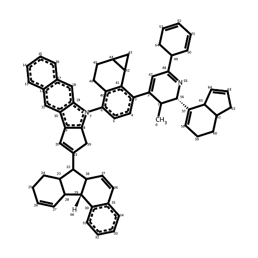 CC1C(c2ccc(-n3c4c(c5cc6ccccc6cc53)C=C(C3C5CCC=CC5[C@H]5c6ccccc6C=CC35)C4)c3c2C2CC2CC3)=CC(C2C=CC=CC2)=N[C@@H]1C1=CCCC2CC=CC12